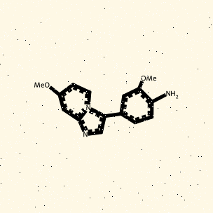 COc1ccn2c(-c3ccc(N)c(OC)c3)cnc2c1